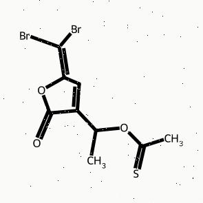 CC(=S)OC(C)C1=CC(=C(Br)Br)OC1=O